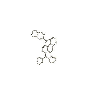 c1ccc(N(c2cccnc2)c2ccc3c4c2ccc2cccc(c24)n3-c2ccc3ccccc3c2)cc1